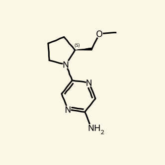 COC[C@@H]1CCCN1c1cnc(N)cn1